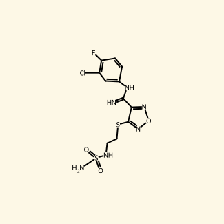 N=C(Nc1ccc(F)c(Cl)c1)c1nonc1SCCNS(N)(=O)=O